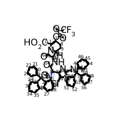 O=C(O)C1=C(OS(=O)(=O)C(F)(F)F)CC[C@@H]2[C@H](NC(=O)/C(=N\OC(c3ccccc3)(c3ccccc3)c3ccccc3)c3nc(NC(c4ccccc4)(c4ccccc4)c4ccccc4)sc3Cl)C(=O)N12